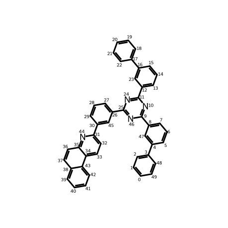 c1ccc(-c2cccc(-c3nc(-c4cccc(-c5ccccc5)c4)nc(-c4cccc(-c5ccc6c(ccc7ccccc76)n5)c4)n3)c2)cc1